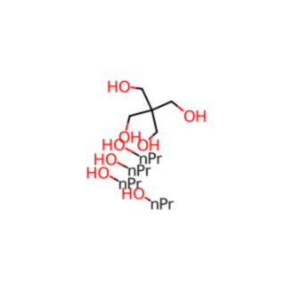 CCCO.CCCO.CCCO.CCCO.OCC(CO)(CO)CO